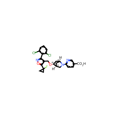 O=C(O)c1ccc(N2C[C@@H]3C[C@H]2C[C@H]3OCc2c(-c3c(Cl)cccc3Cl)noc2C2(F)CC2)nc1